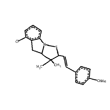 COc1ccc(C=CC2SN3c4cccc(Cl)c4CC3C2(C)C)cc1